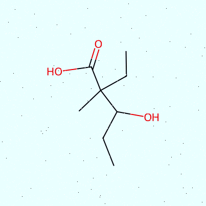 CCC(O)C(C)(CC)C(=O)O